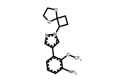 Nc1cccc(-c2cnn(C3CCC34OCCO4)c2)c1OC(F)(F)F